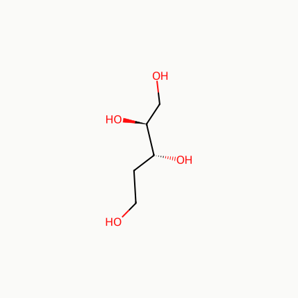 OCC[C@@H](O)[C@@H](O)CO